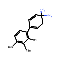 CCCCc1ccc(C2=CCC(N)(N)C=C2)c(CC)c1CCCC